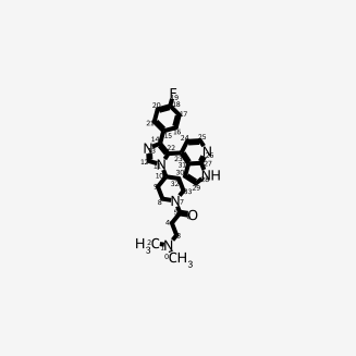 CN(C)CCC(=O)N1CCC(n2cnc(-c3ccc(F)cc3)c2-c2ccnc3[nH]ccc23)CC1